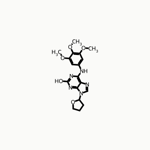 COc1cc(Nc2nc(O)nc3c2ncn3C2CCCO2)cc(OC)c1OC